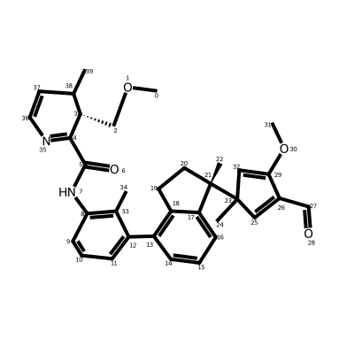 COC[C@@H]1C(C(=O)Nc2cccc(-c3cccc4c3CC[C@]4(C)C3(C)C=C(C=O)C(OC)=C3)c2C)=NC=CC1C